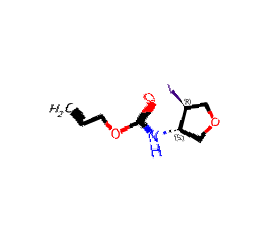 C=CCOC(=O)N[C@H]1COC[C@@H]1I